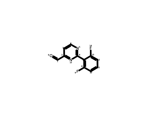 O=Cc1ccnc(-c2c(F)cccc2F)n1